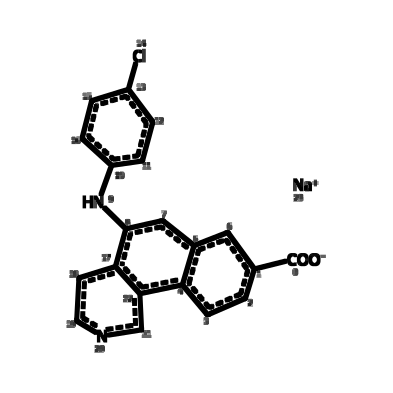 O=C([O-])c1ccc2c(c1)cc(Nc1ccc(Cl)cc1)c1ccncc12.[Na+]